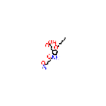 CCCCCCOc1ccc(NC(=O)CCCC(=O)N(C)C)cc1CCC(=O)O